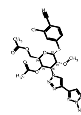 CO[C@@H]1[C@@H](n2cc(-c3cnn(N)n3)nn2)[C@@H](OC(C)=O)[C@@H](COC(C)=O)O[C@@H]1Sc1ccc(C#N)c(Cl)c1